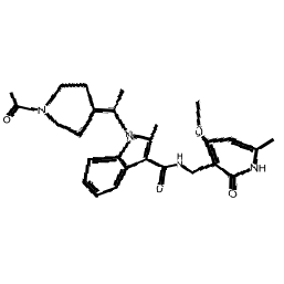 COc1cc(C)[nH]c(=O)c1CNC(=O)c1c(C)n([C@H](C)C2CCN(C(C)=O)CC2)c2ccccc12